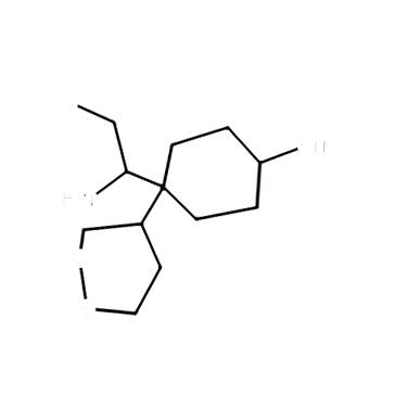 CCC(N)C1(C2CCOCC2)CCC(O)CC1